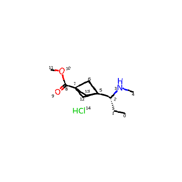 CC[C@@H](NC)C12CC(C(=O)OC)(C1)C2.Cl